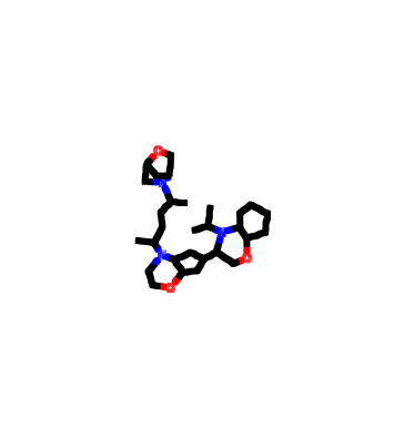 CC(CCC(C)N1CCOC2CC(C3COC4CCCCC4N3C(C)C)CC21)N1CC2CC1CO2